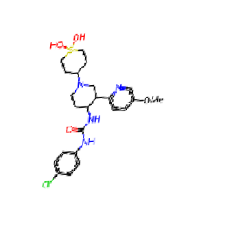 COc1ccc(C2CN(C3CCS(O)(O)CC3)CCC2NC(=O)Nc2ccc(Cl)cc2)nc1